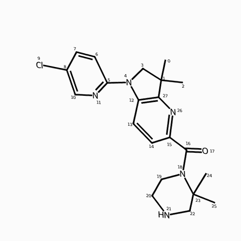 CC1(C)CN(c2ccc(Cl)cn2)c2ccc(C(=O)N3CCNCC3(C)C)nc21